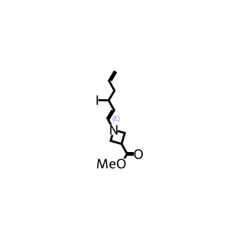 C=CCC(I)/C=C/N1CC(C(=O)OC)C1